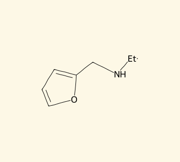 C[CH]NCc1ccco1